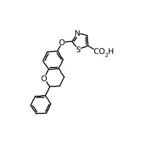 O=C(O)c1cnc(Oc2ccc3c(c2)CCC(c2ccccc2)O3)s1